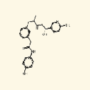 C[C@H](Cc1cccc(CC(=O)Nc2ccc(O)cc2)c1)NC[C@@H](O)c1ccc(N)nc1